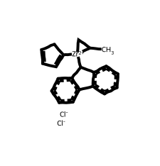 C[CH]1[CH2][Zr+2]1([C]1=CC=CC1)[CH]1c2ccccc2-c2ccccc21.[Cl-].[Cl-]